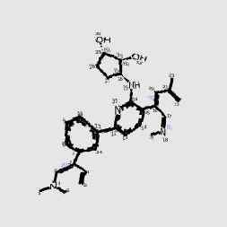 C=C/C(=C\N(C)C)c1cccc(-c2ccc(C(/C=N\C)=C/C(=C)C)c(N[C@H]3CC[C@H](O)[C@H]3O)n2)c1